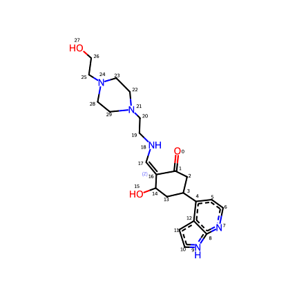 O=C1CC(c2ccnc3[nH]ccc23)CC(O)/C1=C/NCCN1CCN(CCO)CC1